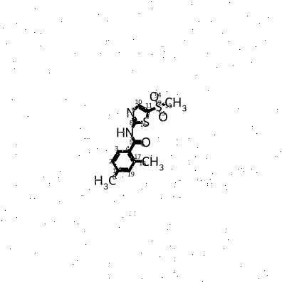 Cc1ccc(C(=O)Nc2ncc(S(C)(=O)=O)s2)c(C)c1